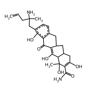 C=CCC(C)(N)Cc1ccc2c(c1O)C(=O)C1=C(O)C3C(CC(O)=C(C(N)=O)C3(C)O)CC1C2